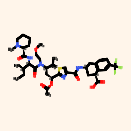 CC[C@H](C)[C@H](NC(=O)[C@H]1CCCCN1C)C(=O)N(CCOC)[C@H](C[C@@H](OC(C)=O)c1nc(C(=O)N[C@H]2Cc3ccc(C(F)(F)F)cc3[C@H](C(=O)O)C2)cs1)C(C)C